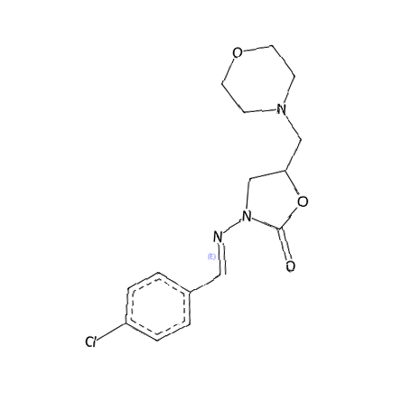 O=C1OC(CN2CCOCC2)CN1/N=C/c1ccc(Cl)cc1